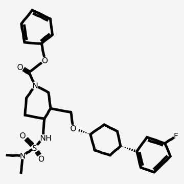 CN(C)S(=O)(=O)NC1CCN(C(=O)Oc2ccccc2)CC1CO[C@H]1CC[C@@H](c2cccc(F)c2)CC1